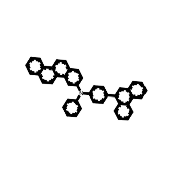 c1ccc(N(c2ccc(-c3cc4ccccc4c4ccccc34)cc2)c2ccc3ccc4c5ccccc5ccc4c3c2)cc1